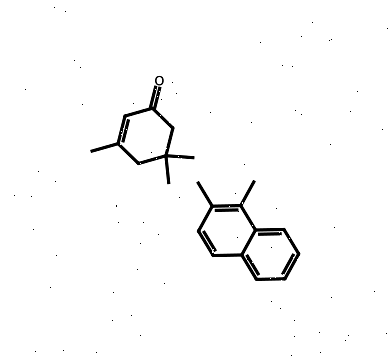 CC1=CC(=O)CC(C)(C)C1.Cc1ccc2ccccc2c1C